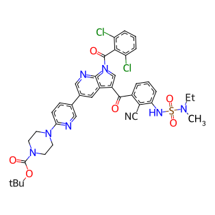 CCN(C)S(=O)(=O)Nc1cccc(C(=O)c2cn(C(=O)c3c(Cl)cccc3Cl)c3ncc(-c4ccc(N5CCN(C(=O)OC(C)(C)C)CC5)nc4)cc23)c1C#N